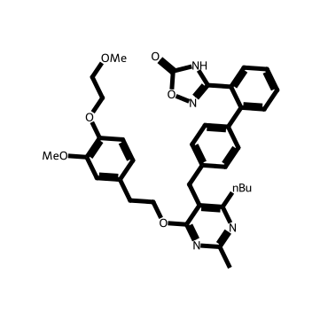 CCCCc1nc(C)nc(OCCc2ccc(OCCOC)c(OC)c2)c1Cc1ccc(-c2ccccc2-c2noc(=O)[nH]2)cc1